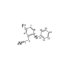 N#CCc1cc(F)ccc1Sc1ccccc1